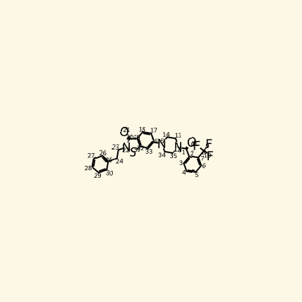 O=C(c1ccccc1C(F)(F)F)N1CCN(c2ccc3c(=O)n(CCc4ccccc4)sc3c2)CC1